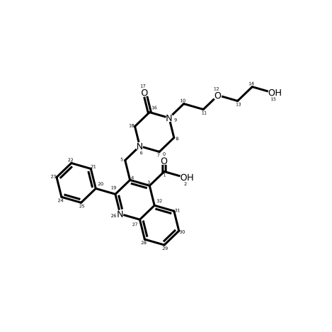 O=C(O)c1c(CN2CCN(CCOCCO)C(=O)C2)c(-c2ccccc2)nc2ccccc12